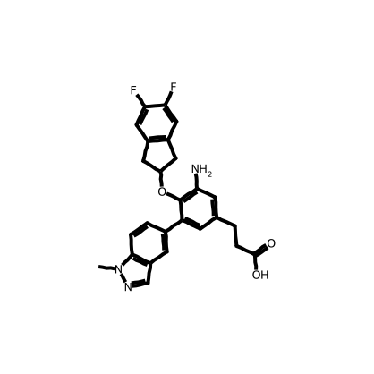 Cn1ncc2cc(-c3cc(CCC(=O)O)cc(N)c3OC3Cc4cc(F)c(F)cc4C3)ccc21